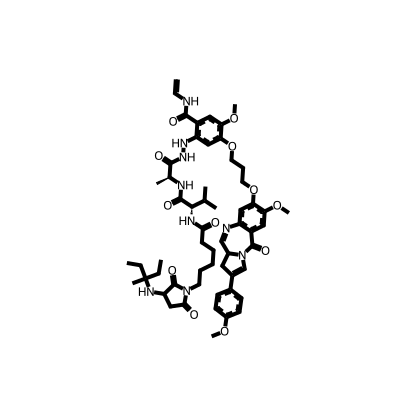 C=CNC(=O)c1cc(OC)c(OCCCOc2cc3c(cc2OC)C(=O)N2C=C(c4ccc(OC)cc4)CC2C=N3)cc1NNC(=O)[C@H](C)NC(=O)[C@@H](NC(=O)CCCCCN1C(=O)CC(NC(C)(CC)CC)C1=O)C(C)C